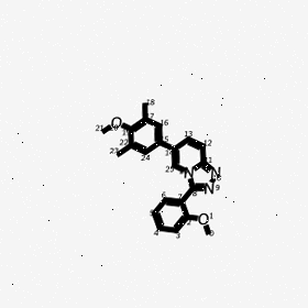 COc1ccccc1-c1nnc2ccc(-c3cc(C)c(OC)c(C)c3)cn12